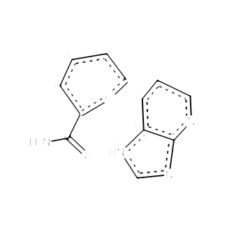 NC(=O)c1ccccc1.c1cnc2nc[nH]c2c1